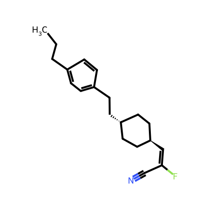 CCCc1ccc(CC[C@H]2CC[C@H](/C=C(/F)C#N)CC2)cc1